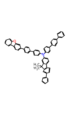 CC1(C)c2cc(-c3ccccc3)ccc2-c2ccc(N(c3ccc(-c4ccc(-c5ccccc5)cc4)cc3)c3ccc(-c4ccc(-c5ccc6c(c5)oc5ccccc56)cc4)cc3)cc21